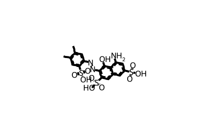 Cc1cc(N=Nc2c(S(=O)(=O)O)cc3cc(S(=O)(=O)O)cc(N)c3c2O)c(S(=O)(=O)O)cc1C